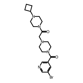 O=C(CN1CCN(C(=O)c2cncc(Br)c2)CC1)N1CCN(C2CCC2)CC1